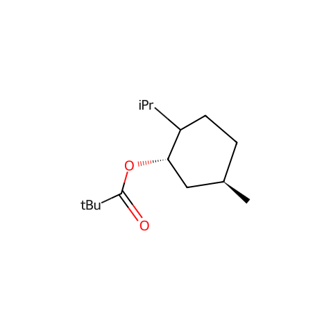 CC(C)C1CC[C@@H](C)C[C@@H]1OC(=O)C(C)(C)C